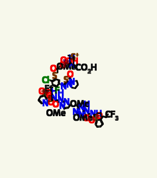 CCS(=O)(=O)c1cccnc1S(=O)(=O)NC(=O)Nc1nc(OC)cc(OC)n1.COC(=O)CSc1cc(/N=c2\sc(=O)n3n2CCCC3)c(F)cc1Cl.COc1nc(C)nc(NC(=O)NS(=O)(=O)c2ccccc2CCC(F)(F)F)n1.C[S+](C)C.O=C(O)CNCP(=O)([O-])O